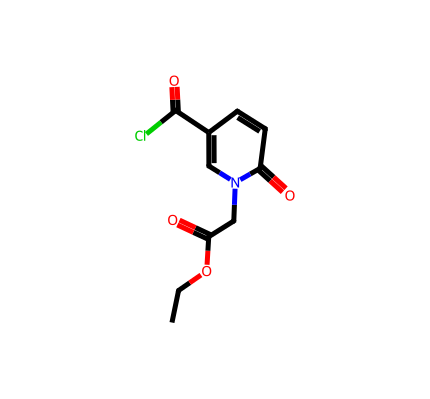 CCOC(=O)Cn1cc(C(=O)Cl)ccc1=O